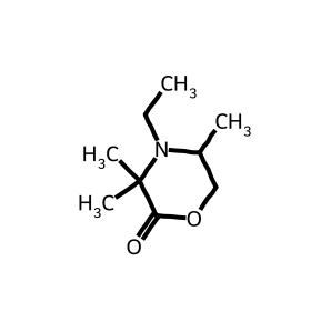 CCN1C(C)COC(=O)C1(C)C